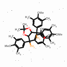 COc1c(C)cc(C(P)(c2cc(C)c(OC)c(C)c2)C2OC(C)(C)OC2C(P)(c2cc(C)c(OC)c(C)c2)c2cc(C)c(OC)c(C)c2)cc1C